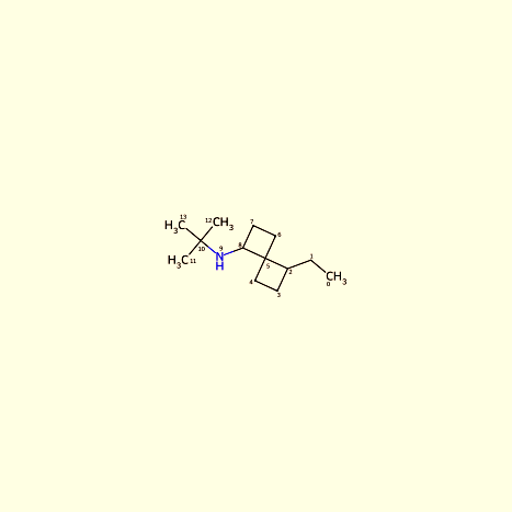 CCC1CCC12CCC2NC(C)(C)C